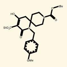 CCOC(=O)C1=C(O)CC2(CCN(C(=O)OC(C)(C)C)CC2)N(Cc2ccc(OC)cc2)C1=O